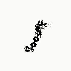 O=C(c1ccc(-c2ccc(-c3nc4cc(O[C@@H]5CO[C@H](CO)C5(F)F)[nH]c4cc3F)cc2)cc1)N1CCOCC1